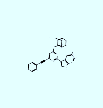 O=C(O)C1C2CCC(CC2)C1Nc1cc(C#Cc2ccccc2)nc(-c2c[nH]c3ncc(F)cc23)n1